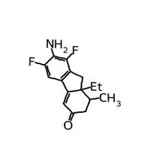 CCC12Cc3c(cc(F)c(N)c3F)C1=CC(=O)CC2C